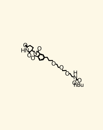 CCCCOC(=O)NCCOCCOCCOCCCc1ccc2c(c1)C(=O)N(C1CCC(=O)NC1=O)C2=O